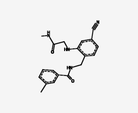 CNC(=O)CNc1cc(C#N)ccc1CNC(=O)c1cccc(C)c1